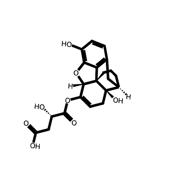 O=C(O)C[C@H](O)C(=O)OC1=CC[C@@]2(O)[C@@H]3CCC[C@@]24c2c(ccc(O)c2O[C@@H]14)C3